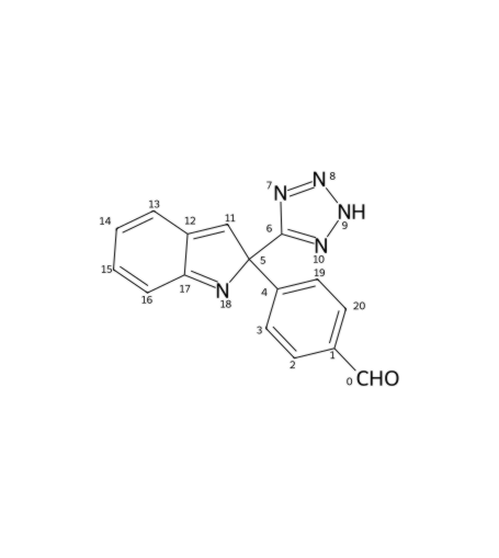 O=Cc1ccc(C2(c3nn[nH]n3)C=c3ccccc3=N2)cc1